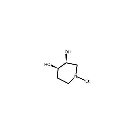 CCN1CC[C@@H](O)[C@@H](O)C1